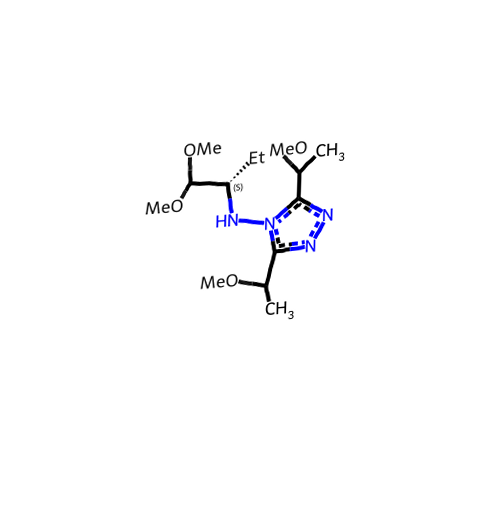 CC[C@H](Nn1c(C(C)OC)nnc1C(C)OC)C(OC)OC